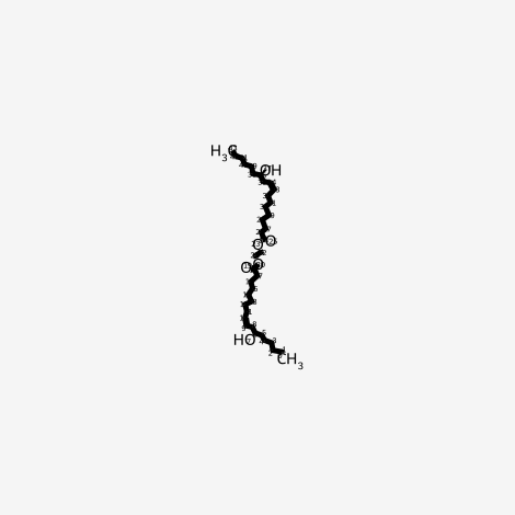 CCCCCC[C@@H](O)C/C=C\CCCCCCCC(=O)OCCOC(=O)CCCCCCC/C=C\C[C@H](O)CCCCCC